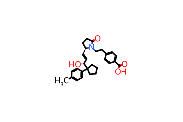 Cc1ccc(C2([C@H](O)C=C[C@H]3CCC(=O)N3CCc3ccc(C(=O)O)cc3)CCCC2)cc1